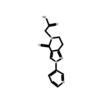 N#CC(=O)CN1CCc2nn(-c3cccnc3)cc2C1=O